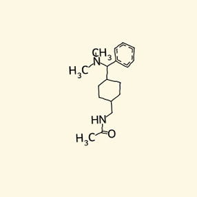 CC(=O)NCC1CCC(C(c2ccccc2)N(C)C)CC1